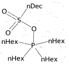 CCCCCCCCCCS(=O)(=O)OP(CCCCCC)(CCCCCC)(CCCCCC)CCCCCC